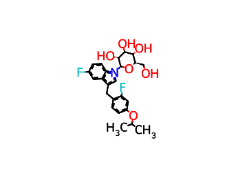 CC(C)Oc1ccc(Cc2cn([C@@H]3O[C@H](CO)[C@@H](O)[C@H](O)[C@H]3O)c3ccc(F)cc23)c(F)c1